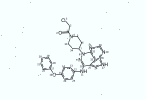 O=C(CCl)N1CCC(N2N=C(Nc3ccc(Oc4ccccc4)cc3)c3c[nH]c4ncnc2c34)CC1